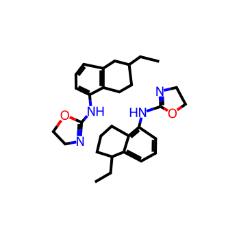 CCC1CCCc2c(NC3=NCCO3)cccc21.CCC1CCc2c(cccc2NC2=NCCO2)C1